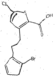 O=C(O)c1sc(Cl)cc1CCC1=C(Br)CC=C1